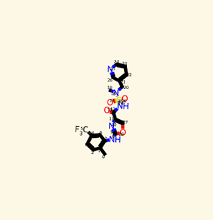 Cc1ccc(C(F)(F)F)cc1Nc1nc(C(=O)NS(=O)(=O)N(C)Cc2cccnc2)co1